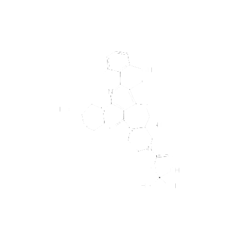 C[C@@H]1CN(c2nc(-c3c(O)cccc3F)c(Cl)c3c2C(=O)N2CCN(C(=O)OC(C)(C)C)C[C@@H]2CO3)CCO1